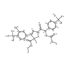 CCOC(=O)C1(C)CN(C(=O)N(SC(=O)OC)c2ccc(C(F)(F)F)cc2)N=C1c1ccc(C(F)(F)F)c(Cl)c1